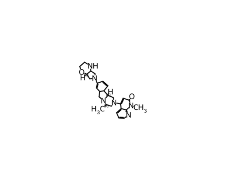 C[C@@H]1CN(c2cc(=O)n(C)c3ncccc23)C[C@@H]2C3C=CC(N4CC5NCCO[C@@H]5C4)=CC3CN12